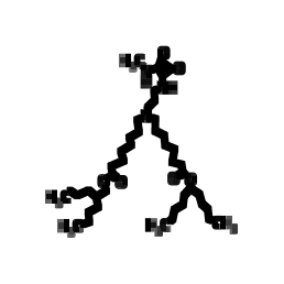 CCCCCC(CCCCC)OC(=O)CCCCCCCN(CCCCCCCC(=O)OCC(CCCC)CCCC)CCCNc1c(NC)c(=O)c1=O